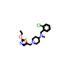 CCOc1ncc(CN2CCC(N(C)Cc3ccccc3Cl)CC2)s1